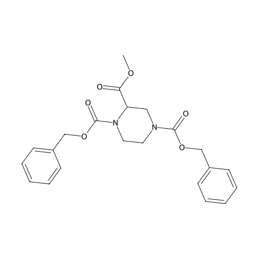 COC(=O)C1CN(C(=O)OCc2ccccc2)CCN1C(=O)OCc1ccccc1